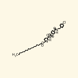 CCCCCCCCCCCCCCCCCC(=O)OCc1ccc(C(=O)NS(=O)(=O)c2ccc(C(=O)NCCc3ccc(Cl)cc3)cc2)cn1